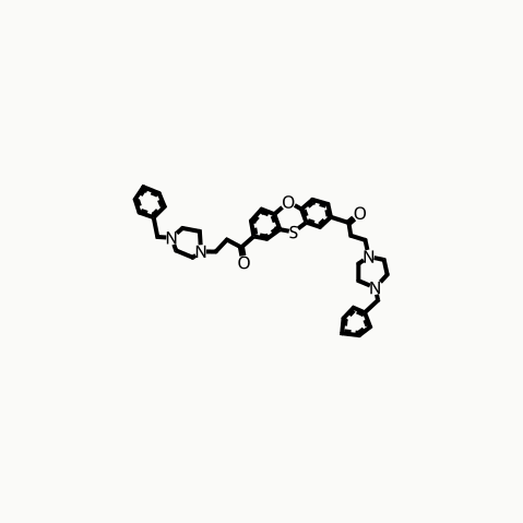 O=C(CCN1CCN(Cc2ccccc2)CC1)c1ccc2c(c1)Sc1cc(C(=O)CCN3CCN(Cc4ccccc4)CC3)ccc1O2